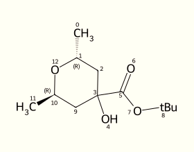 C[C@@H]1CC(O)(C(=O)OC(C)(C)C)C[C@@H](C)O1